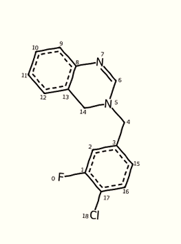 Fc1cc(CN2C=Nc3ccccc3C2)ccc1Cl